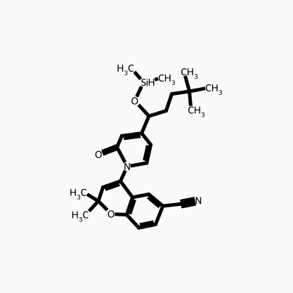 C[SiH](C)OC(CCC(C)(C)C)c1ccn(C2=CC(C)(C)Oc3ccc(C#N)cc32)c(=O)c1